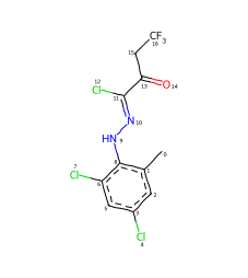 Cc1cc(Cl)cc(Cl)c1NN=C(Cl)C(=O)CC(F)(F)F